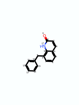 O=c1ccc2cccc(Cc3ccccc3)c2[nH]1